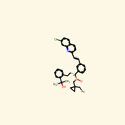 CC(=O)CC1(C[S+]([O-])[C@H](CCc2ccccc2C(C)(C)O)c2cccc(/C=C/c3ccc4ccc(Cl)cc4n3)c2)CC1